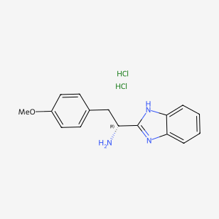 COc1ccc(C[C@@H](N)c2nc3ccccc3[nH]2)cc1.Cl.Cl